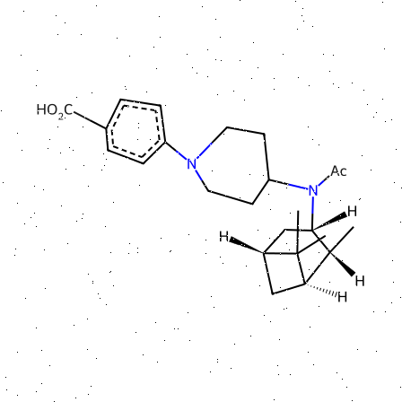 CC(=O)N(C1CCN(c2ccc(C(=O)O)cc2)CC1)[C@H]1C[C@H]2C[C@H]([C@H]1C)C2(C)C